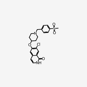 CS(=O)(=O)c1ccc(CN2CCC(Oc3cc4cc[nH]c(=O)c4cc3Cl)CC2)cc1